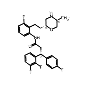 [CH2][C@H]1CO[C@H](CCc2c(F)cccc2NC(=O)C[C@@H](c2ccc(F)cc2)c2cccc(F)c2F)CN1